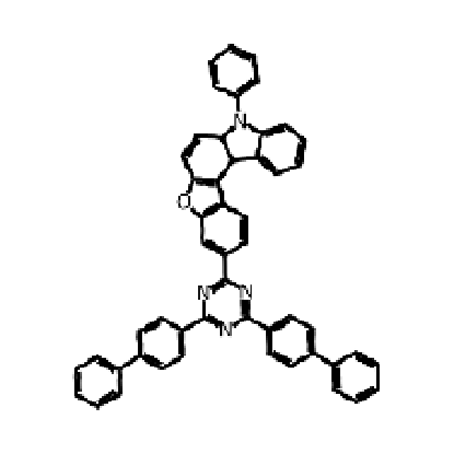 C1=CC2C(c3ccccc3N2c2ccccc2)c2c1oc1cc(-c3nc(-c4ccc(-c5ccccc5)cc4)nc(-c4ccc(-c5ccccc5)cc4)n3)ccc21